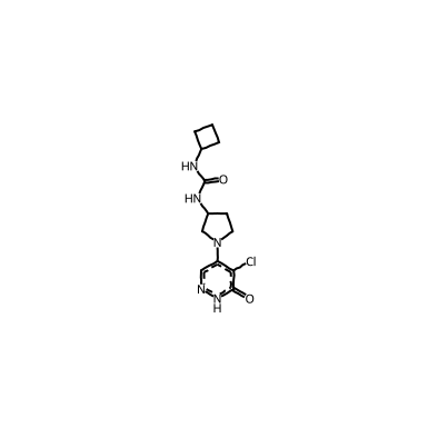 O=C(NC1CCC1)NC1CCN(c2cn[nH]c(=O)c2Cl)C1